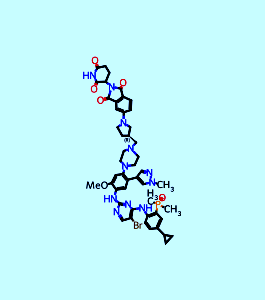 COc1cc(N2CCN(C[C@H]3CCN(c4ccc5c(c4)C(=O)N(C4CCC(=O)NC4=O)C5=O)C3)CC2)c(-c2cnn(C)c2)cc1Nc1ncc(Br)c(Nc2ccc(C3CC3)cc2P(C)(C)=O)n1